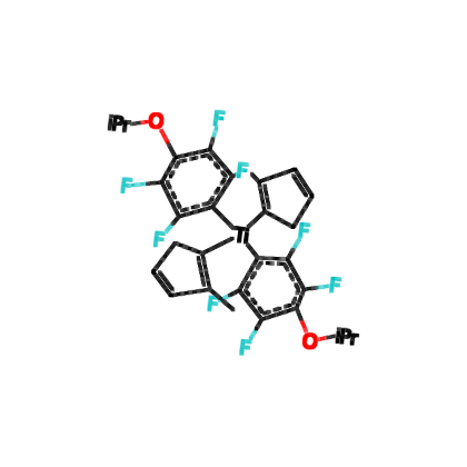 CC1=[C]([Ti]([C]2=C(C)C=CC2)([c]2c(F)c(F)c(OC(C)C)c(F)c2F)[c]2c(F)c(F)c(OC(C)C)c(F)c2F)CC=C1